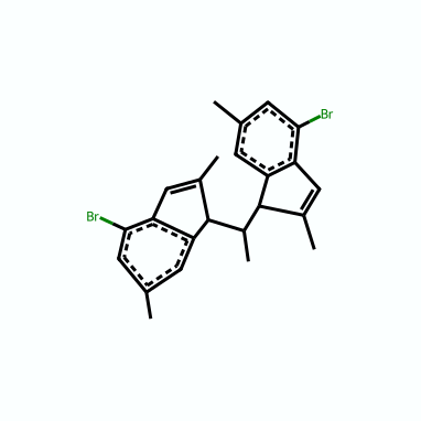 CC1=Cc2c(Br)cc(C)cc2C1C(C)C1C(C)=Cc2c(Br)cc(C)cc21